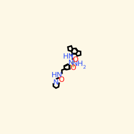 NS(=O)(=NC(=O)Nc1c2c(cc3c1CCC3)CCC2)c1ccc(CCNC(=O)CN2CCCCC2)cc1